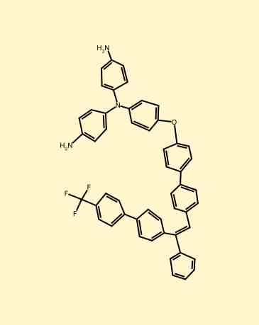 Nc1ccc(N(c2ccc(N)cc2)c2ccc(Oc3ccc(-c4ccc(C=C(c5ccccc5)c5ccc(-c6ccc(C(F)(F)F)cc6)cc5)cc4)cc3)cc2)cc1